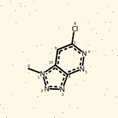 Cn1nnc2nnc(Cl)cc21